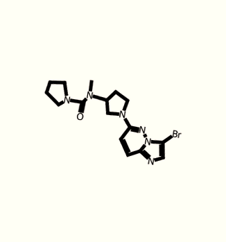 CN(C(=O)N1CCCC1)C1CCN(c2ccc3ncc(Br)n3n2)C1